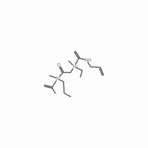 C=CCNC(=C)[N+](C)(CC)CC(=O)[N+](C)(CCC)C(=C)C